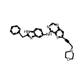 C(#Cc1cc2ncnc(Nc3ccc4[nH]c(Cc5ccccc5)nc4c3)c2s1)CN1CCOCC1